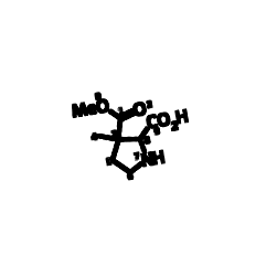 COC(=O)C1(C)CCNC1C(=O)O